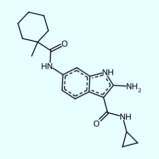 CC1(C(=O)Nc2ccc3c(C(=O)NC4CC4)c(N)[nH]c3c2)CCCCC1